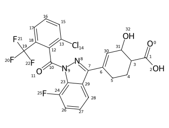 O=C(O)C1CCC(c2nn(C(=O)c3c(Cl)cccc3C(F)(F)F)c3c(F)cccc23)=CC1O